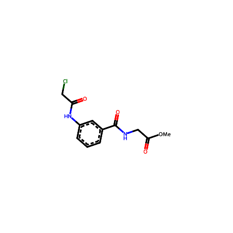 COC(=O)CNC(=O)c1cccc(NC(=O)CCl)c1